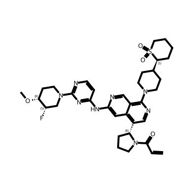 C=CC(=O)N1CCC[C@@H]1c1cnc(N2CCC([C@@H]3CCCCS3(=O)=O)CC2)c2cnc(Nc3ccnc(N4CC[C@@H](OC)[C@@H](F)C4)n3)cc12